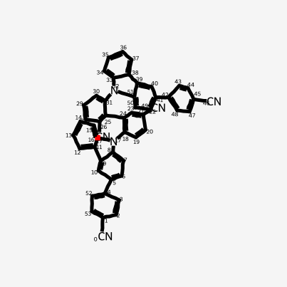 N#Cc1ccc(-c2ccc3c(c2)c2ccccc2n3-c2ccc(C#N)cc2-c2c(C#N)cccc2-n2c3ccccc3c3cc(-c4ccc(C#N)cc4)ccc32)cc1